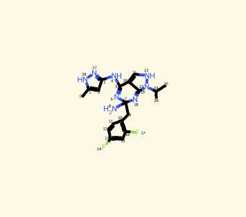 Cc1cc(NC2=NC(N)(Cc3ccc(F)cc3F)N=C3C2=CNN3C(C)C)n[nH]1